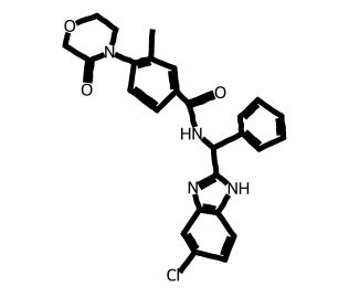 Cc1cc(C(=O)NC(c2ccccc2)c2nc3cc(Cl)ccc3[nH]2)ccc1N1CCOCC1=O